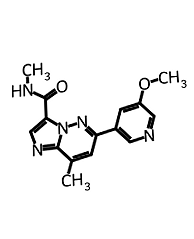 CNC(=O)c1cnc2c(C)cc(-c3cncc(OC)c3)nn12